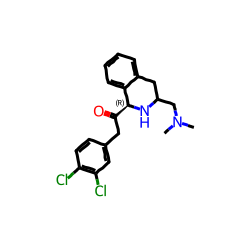 CN(C)CC1Cc2ccccc2[C@H](C(=O)Cc2ccc(Cl)c(Cl)c2)N1